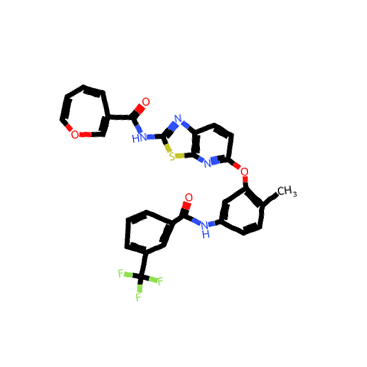 Cc1ccc(NC(=O)c2cccc(C(F)(F)F)c2)cc1Oc1ccc2nc(NC(=O)C3=COC=CC=C3)sc2n1